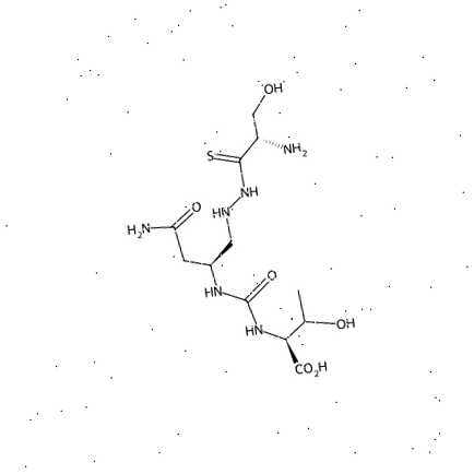 CC(O)[C@H](NC(=O)N[C@H](CNNC(=S)[C@@H](N)CO)CC(N)=O)C(=O)O